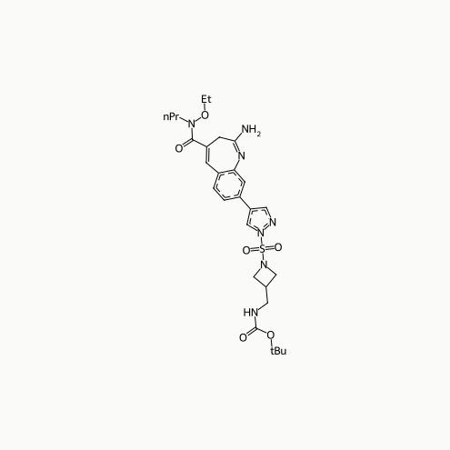 CCCN(OCC)C(=O)C1=Cc2ccc(-c3cnn(S(=O)(=O)N4CC(CNC(=O)OC(C)(C)C)C4)c3)cc2N=C(N)C1